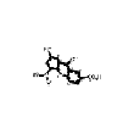 CCc1cc([S+]([O-])C(C)C)c2oc3ccc(C(=O)O)cc3c(=O)c2c1